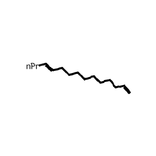 [CH2]CCC=CCCCCCCCCC=C